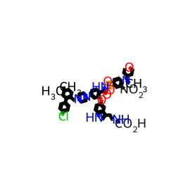 CN(c1ccc(S(=O)(=O)NC(=O)c2ccc(N3CCN(CC4=C(c5ccc(Cl)cc5)CC(C)(C)CC4)CC3)cc2Oc2ccc3[nH]cc(CCNC(=O)O)c3c2)cc1[N+](=O)[O-])C1CCOCC1